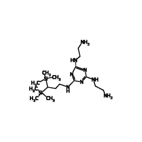 C[Si](C)(C)C(CCNc1nc(NCCN)nc(NCCN)n1)[Si](C)(C)C